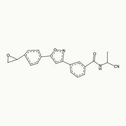 CC(C#N)NC(=O)c1cccc(-c2cc(-c3ccc(C4CO4)cc3)on2)c1